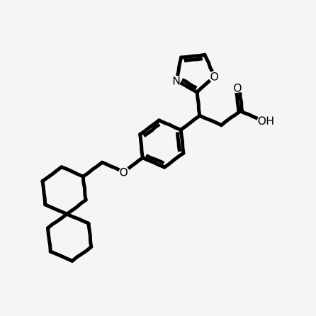 O=C(O)CC(c1ccc(OCC2CCCC3(CCCCC3)C2)cc1)c1ncco1